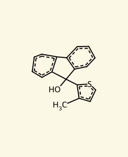 Cc1ccsc1C1(O)c2ccccc2-c2ccccc21